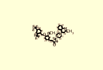 COc1cc(C=C2SC(N3CCN(c4cc(C)nc5ccccc45)CC3)=NC2=O)ccc1OCc1ccc(C(F)(F)F)cc1C(F)(F)F